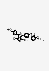 COc1cccc(Oc2ccc(-c3nc(C4=C5CC(CO)(CC4)O5)n4c(Cl)cnc(N)c34)cc2)c1F